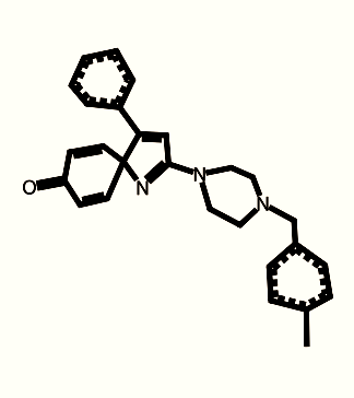 Cc1ccc(CN2CCN(C3=NC4(C=CC(=O)C=C4)C(c4ccccc4)=C3)CC2)cc1